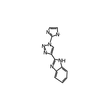 C1=CN=C(n2cc(-c3nc4ccccc4[nH]3)nn2)[N]1